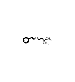 CN(C)CCOC=Cc1ccccc1